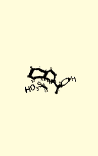 CC(O)c1ccc2ccccc2n1.CS(=O)(=O)O